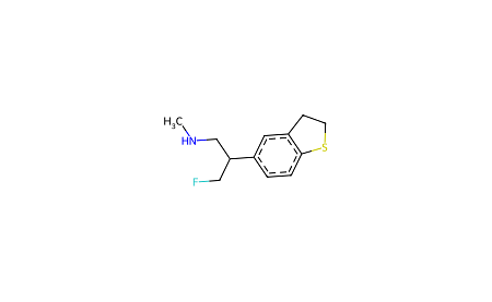 CNCC(CF)c1ccc2c(c1)CCS2